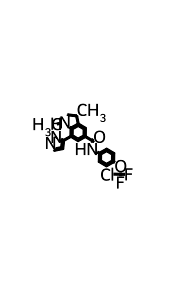 CC1CN(C)c2c(-c3ccn[nH]3)cc(C(=O)Nc3ccc(OC(F)(F)Cl)cc3)cc21